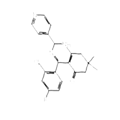 CC1(C)CC(=O)C2=C(C1)NC(c1ccncc1)N=C2c1ccc(F)cc1Cl